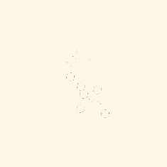 CC(C)(C)C(N)OC(N)c1cccc(-c2ccc3ccc(-c4ccccc4C4=CC(c5ccccc5)NC(c5ccccc5)=N4)cc3c2)c1